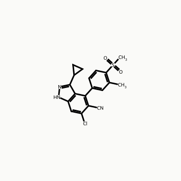 Cc1cc(-c2c(C#N)c(Cl)cc3[nH]nc(C4CC4)c23)ccc1S(C)(=O)=O